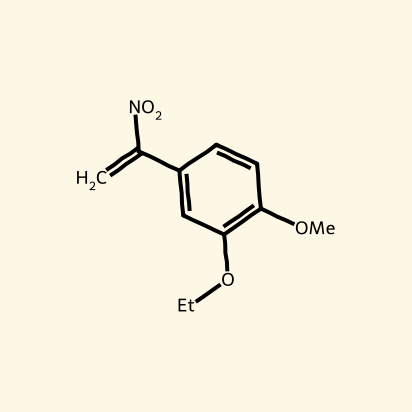 C=C(c1ccc(OC)c(OCC)c1)[N+](=O)[O-]